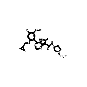 CCOC(=O)N1CC[C@@H](NC(=O)c2c(C)[nH]c3c(-c4cc(OC)c(F)cc4OCC4CC4)ncnc23)C1